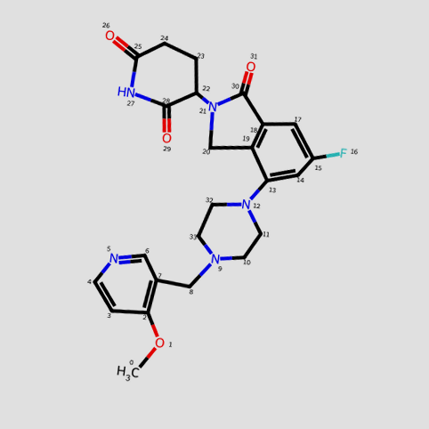 COc1ccncc1CN1CCN(c2cc(F)cc3c2CN(C2CCC(=O)NC2=O)C3=O)CC1